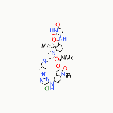 CNC(=O)COc1cc2cc(Nc3nc(N4CCC(CN5CC6(CCN(c7cccc(C(=O)NC8CCC(=O)NC8=O)c7OC)CC6)C5)CC4)ncc3Cl)ccc2n(C(C)C)c1=O